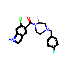 C[C@@H]1CN(Cc2ccc(F)cc2)CCN1C(=O)c1cc2cc[nH]c2cc1Cl